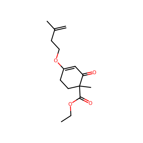 C=C(C)CCOC1=CC(=O)C(C)(C(=O)OCC)CC1